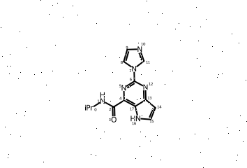 CC(C)NC(=O)c1nc(-n2ccnc2)nc2cc[nH]c12